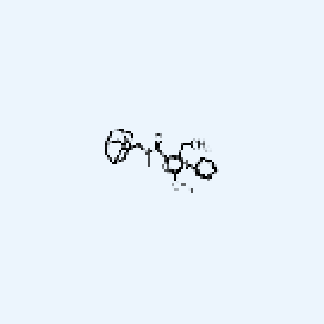 CCc1c(C(=O)NCC23CC4CC(CC(C4)C2)C3)nc(C)n1-c1ccccc1